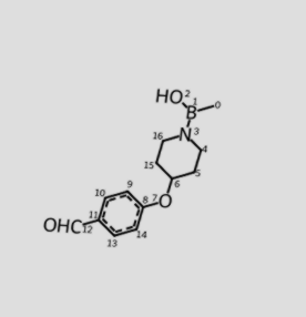 CB(O)N1CCC(Oc2ccc(C=O)cc2)CC1